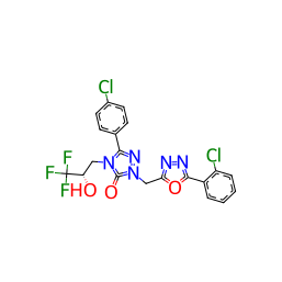 O=c1n(Cc2nnc(-c3ccccc3Cl)o2)nc(-c2ccc(Cl)cc2)n1C[C@H](O)C(F)(F)F